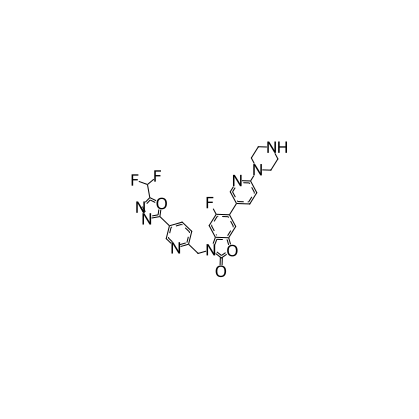 O=c1oc2cc(-c3ccc(N4CCNCC4)nc3)c(F)cc2n1Cc1ccc(-c2nnc(C(F)F)o2)cn1